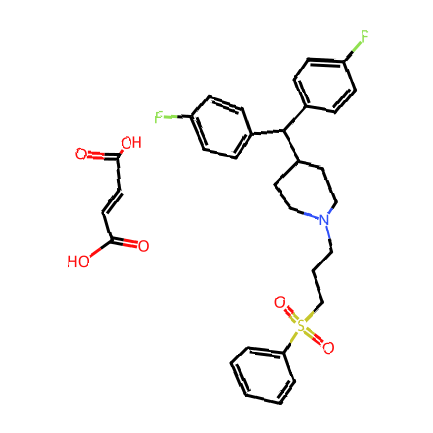 O=C(O)/C=C/C(=O)O.O=S(=O)(CCCN1CCC(C(c2ccc(F)cc2)c2ccc(F)cc2)CC1)c1ccccc1